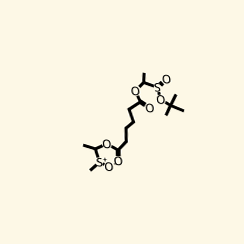 CC(OC(=O)CCCCC(=O)OC(C)[S+](C)[O-])S(=O)OC(C)(C)C